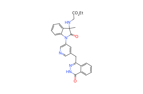 CCOC(=O)CNC1(C)C(=O)N(c2cncc(Cc3n[nH]c(=O)c4ccccc34)c2)c2ccccc21